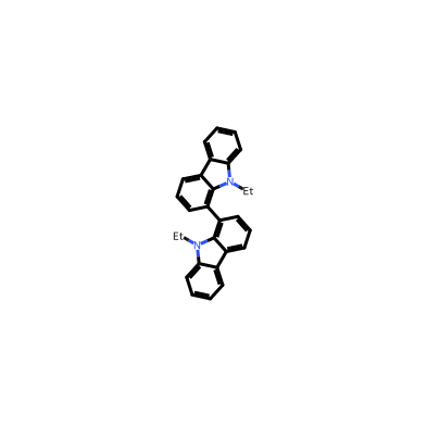 CCn1c2ccccc2c2cccc(-c3cccc4c5ccccc5n(CC)c34)c21